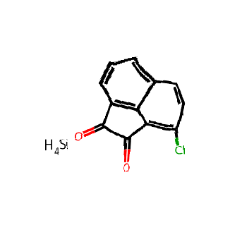 O=C1C(=O)c2c(Cl)ccc3cccc1c23.[SiH4]